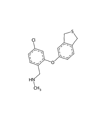 CNCc1ccc(Cl)cc1Oc1ccc2c(c1)CSC2